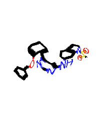 CS(=O)(=O)N1CCc2ccc(Nc3cc(-c4ccccc4OCc4ccccc4)ncn3)cc21